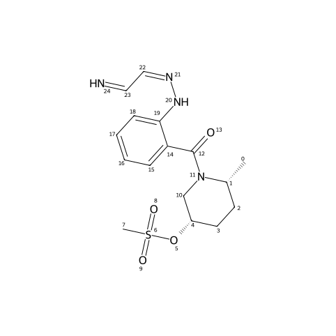 C[C@@H]1CC[C@H](OS(C)(=O)=O)CN1C(=O)c1ccccc1N/N=C\C=N